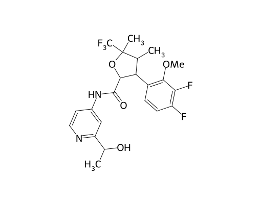 COc1c(C2C(C(=O)Nc3ccnc(C(C)O)c3)OC(C)(C(F)(F)F)C2C)ccc(F)c1F